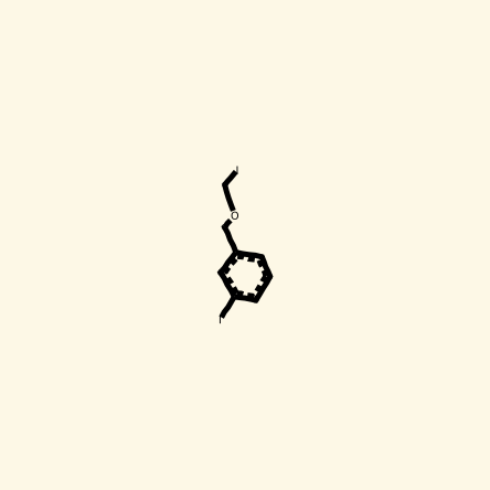 ICOCc1cccc(I)c1